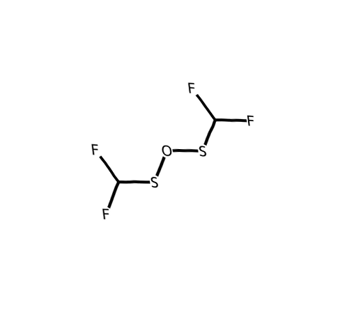 FC(F)SOSC(F)F